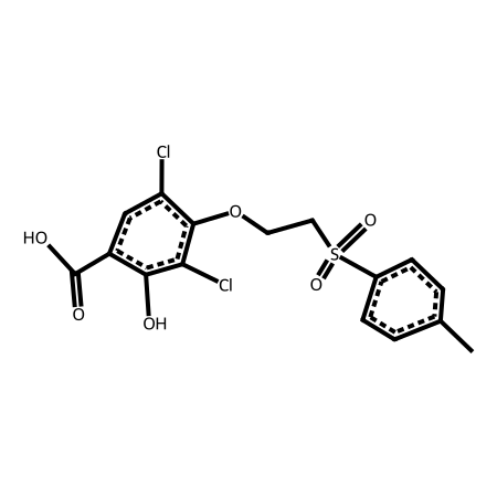 Cc1ccc(S(=O)(=O)CCOc2c(Cl)cc(C(=O)O)c(O)c2Cl)cc1